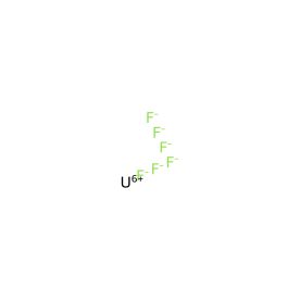 [F-].[F-].[F-].[F-].[F-].[F-].[U+6]